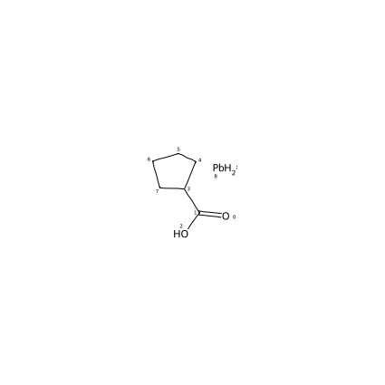 O=C(O)C1CCCC1.[PbH2]